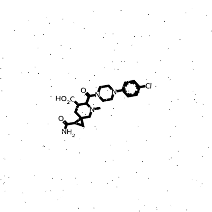 CN1CC2(CC(C(=O)O)C1C(=O)N1CCN(c3ccc(Cl)cc3)CC1)CC2C(N)=O